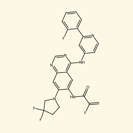 C=C(F)C(=O)Nc1cc2c(Nc3ccnc(-c4ccccc4F)c3)ncnc2cc1N1CCC(F)(F)C1